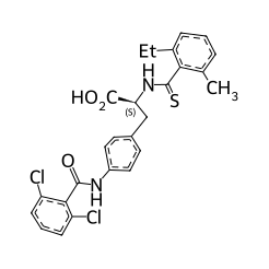 CCc1cccc(C)c1C(=S)N[C@@H](Cc1ccc(NC(=O)c2c(Cl)cccc2Cl)cc1)C(=O)O